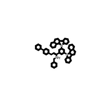 C(/Cc1ccc(-c2ccccc2)cc1)=C(/NCc1ccccc1)c1cc(-n2c3ccccc3c3ccc4ccccc4c32)cc(-n2c3ccccc3c3ccc4ccccc4c32)c1